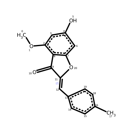 COc1cc(O)cc2c1C(=O)/C(=C/c1ccc(C)cc1)O2